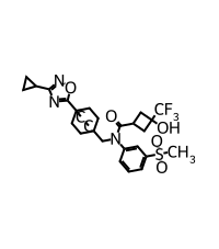 CS(=O)(=O)c1cccc(N(CC23CCC(c4nc(C5CC5)no4)(CC2)CC3)C(=O)C2CC(O)(C(F)(F)F)C2)c1